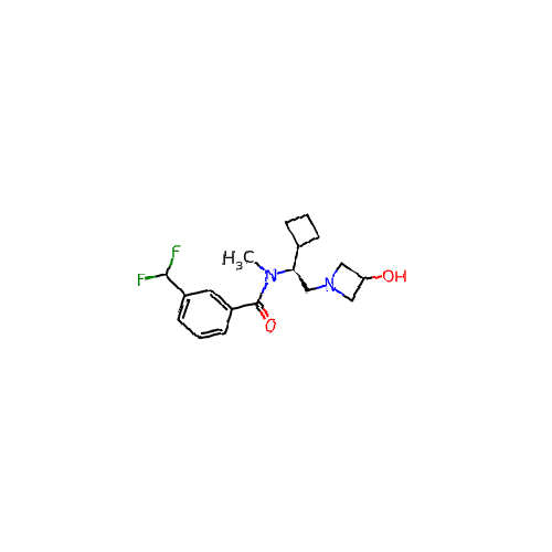 CN(C(=O)c1cccc(C(F)F)c1)[C@H](CN1CC(O)C1)C1CCC1